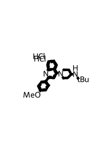 COc1ccc(-c2cc(N3CCC(NC(C)(C)C)CC3)c3ccccc3n2)cc1.Cl.Cl